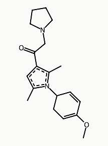 COC1=CCC(n2c(C)cc(C(=O)CN3CCCC3)c2C)C=C1